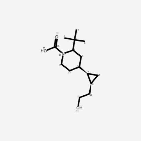 CC(C)(C)C1CC([C@H]2C[C@H]2CCO)CCN1C(=O)O